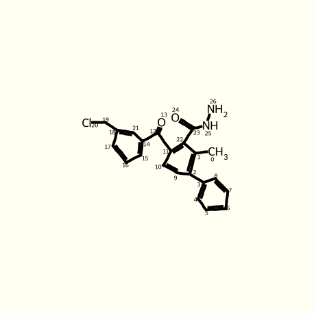 Cc1c(-c2ccccc2)ccc(C(=O)c2cccc(CCl)c2)c1C(=O)NN